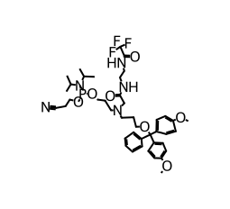 COc1ccc(C(OCCCN(CCCOP(OCCC#N)N(C(C)C)C(C)C)CC(=O)NCCNC(=O)C(F)(F)F)(c2ccccc2)c2ccc(OC)cc2)cc1